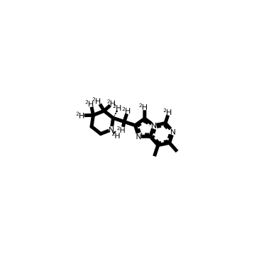 [2H]c1nc(C)c(C)c2nc(C([2H])([2H])[C@@]3([2H])N([2H])CCC([2H])([2H])C3([2H])[2H])c([2H])n12